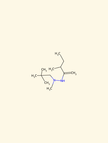 C=C(NN(C)CC(C)(C)C)C(C)CC